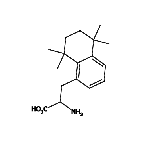 CC1(C)CCC(C)(C)c2c(CC(N)C(=O)O)cccc21